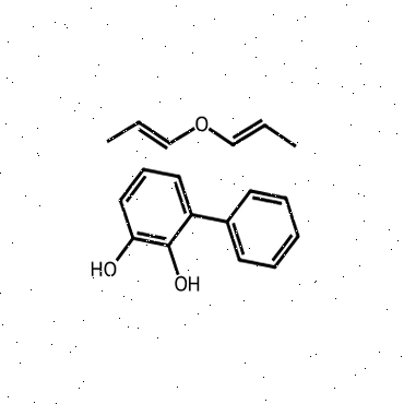 CC=COC=CC.Oc1cccc(-c2ccccc2)c1O